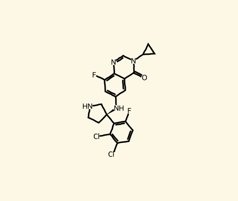 O=c1c2cc(N[C@@]3(c4c(F)ccc(Cl)c4Cl)CCNC3)cc(F)c2ncn1C1CC1